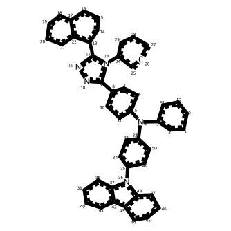 c1ccc(N(c2ccc(-c3nnc(-c4cccc5ccccc45)n3-c3ccccc3)cc2)c2ccc(-n3c4ccccc4c4ccccc43)cc2)cc1